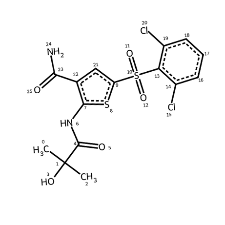 CC(C)(O)C(=O)Nc1sc(S(=O)(=O)c2c(Cl)cccc2Cl)cc1C(N)=O